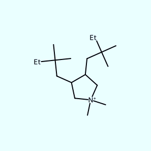 CCC(C)(C)CC1C[N+](C)(C)CC1CC(C)(C)CC